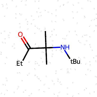 CCC(=O)C(C)(C)NC(C)(C)C